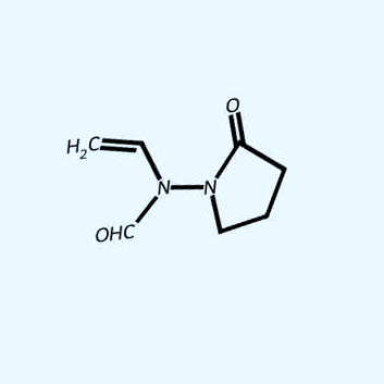 C=CN(C=O)N1CCCC1=O